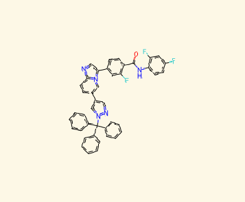 O=C(Nc1ccc(F)cc1F)c1ccc(-c2cnc3ccc(-c4cnn(C(c5ccccc5)(c5ccccc5)c5ccccc5)c4)cn23)cc1F